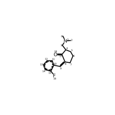 CN(C)CC1CCCC(=Cc2ccccc2F)C1=O